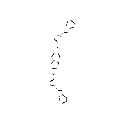 c1ccc2oc(-c3ccc(-c4nc5cc6cc7oc(-c8cnc(-c9cc%10ccccc%10o9)s8)nc7cc6cc5o4)s3)cc2c1